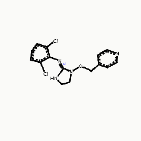 Clc1cccc(Cl)c1/N=C1\NCCN1OCc1ccncc1